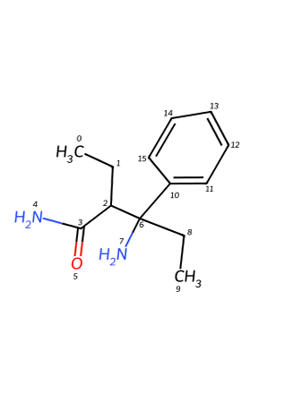 CCC(C(N)=O)C(N)(CC)c1ccccc1